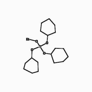 CC[O][Ti]([O]C1CCCCC1)([O]C1CCCCC1)[O]C1CCCCC1